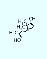 CC(=CO)CC[C@@H]1CC=C(C)C1(C)C